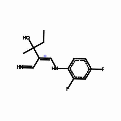 CCC(C)(O)/C(C=N)=C/Nc1ccc(F)cc1F